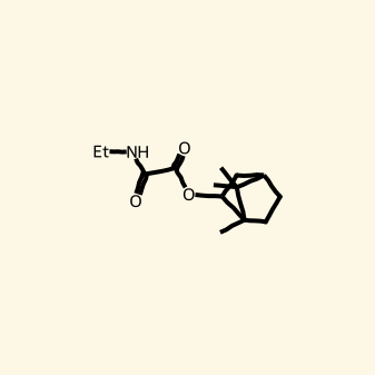 CCNC(=O)C(=O)OC1CC2CCC1(C)C2(C)C